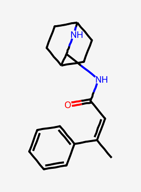 CC(=CC(=O)NC1NC2CCC1CC2)c1ccccc1